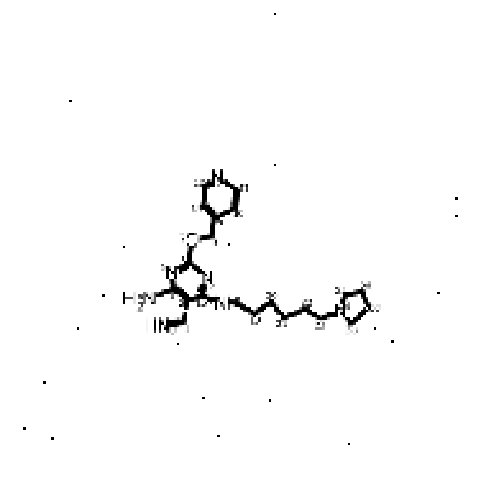 N=Cc1c(N)nc(OCc2ccncc2)nc1NCCCCCCN1CCCC1